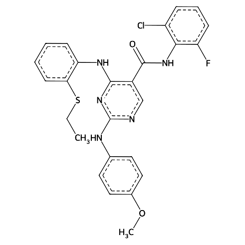 CCSc1ccccc1Nc1nc(Nc2ccc(OC)cc2)ncc1C(=O)Nc1c(F)cccc1Cl